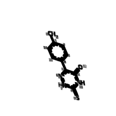 Cc1ccc(-c2n[nH]c(=S)[nH]c2=O)cc1